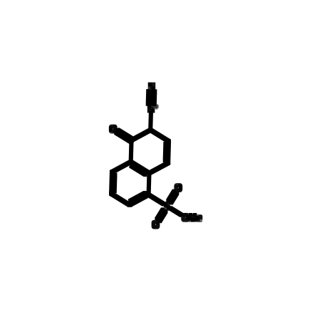 COS(=O)(=O)c1cccc2c1C=CC([N+]#N)C2=O